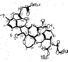 C[C@H](c1cccnc1N(C(=O)OC(C)(C)C)C(=O)OC(C)(C)C)N1CCOc2c(C(F)(F)F)c(-c3ccc(F)c4sc(NC(=O)OC(C)(C)C)c(C#N)c34)c(F)c3nc([S+](C)[O-])nc1c23